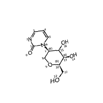 O=c1ncccn1[C@@H]1CO[C@H](CO)[C@H](O)C1O